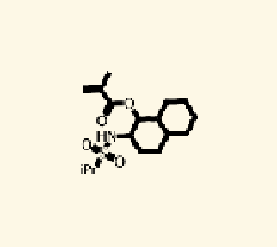 C=C(C)C(=O)OC1C(NS(=O)(=O)C(C)C)CCC2CCCCC21